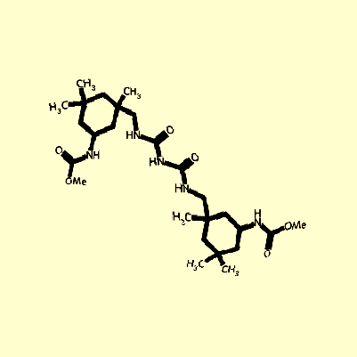 COC(=O)NC1CC(C)(C)CC(C)(CNC(=O)NC(=O)NCC2(C)CC(NC(=O)OC)CC(C)(C)C2)C1